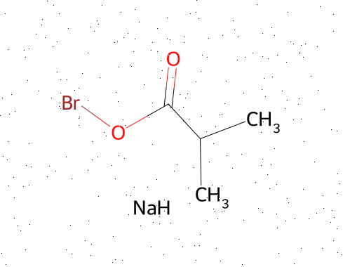 CC(C)C(=O)OBr.[NaH]